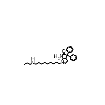 CCCNCCCCCCCCCN1CCC(C(C(N)=O)(c2ccccc2)c2ccccc2)C1